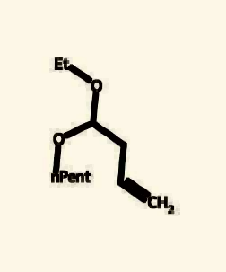 C=CCC(OCC)OCCCCC